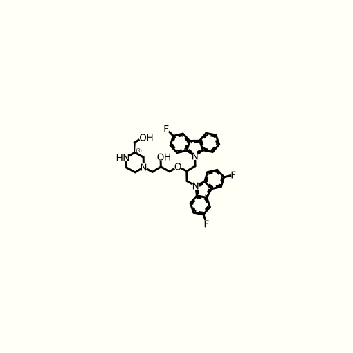 OC[C@H]1CN(CC(O)COC(Cn2c3ccccc3c3cc(F)ccc32)Cn2c3ccc(F)cc3c3cc(F)ccc32)CCN1